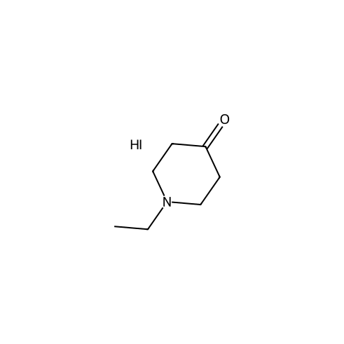 CCN1CCC(=O)CC1.I